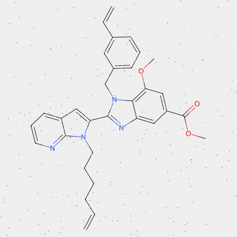 C=CCCCCn1c(-c2nc3cc(C(=O)OC)cc(OC)c3n2Cc2cccc(C=C)c2)cc2cccnc21